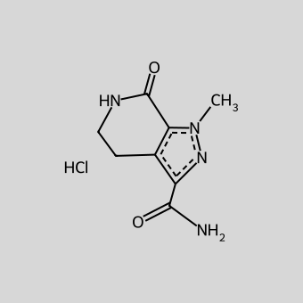 Cl.Cn1nc(C(N)=O)c2c1C(=O)NCC2